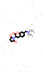 CN(C)Cc1ccc2cc(N3C(=O)C=CC3=O)c(=O)oc2c1